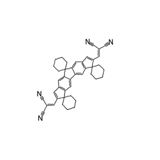 N#CC(C#N)=CC1=Cc2cc3c(cc2C12CCCCC2)-c1cc2c(cc1C31CCCCC1)C=C(C=C(C#N)C#N)C21CCCCC1